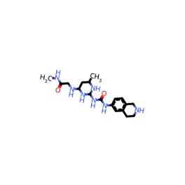 CNC(=O)CNC1CC(C)NC(NC(=O)Nc2ccc3c(c2)CCNC3)N1